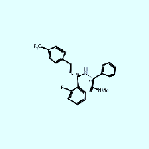 C=C(NC)[C@H](N[C@@H](CCc1ccc(C(F)(F)F)cc1)c1ccccc1F)c1ccccc1